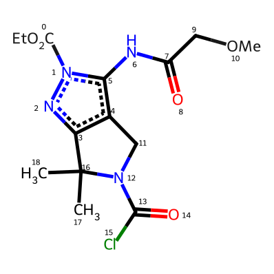 CCOC(=O)n1nc2c(c1NC(=O)COC)CN(C(=O)Cl)C2(C)C